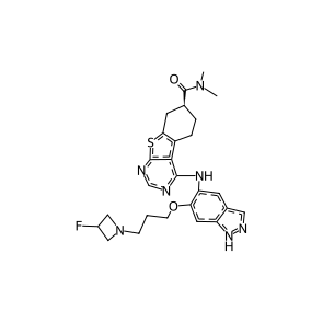 CN(C)C(=O)[C@H]1CCc2c(sc3ncnc(Nc4cc5cn[nH]c5cc4OCCCN4CC(F)C4)c23)C1